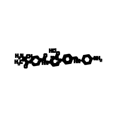 CC(C)(N)C(=O)N1CCN(C(=O)Nc2ccn(-c3ccc(CN[C@H]4CC[C@H](N)CC4)cc3)c(=O)n2)CC1.Cl